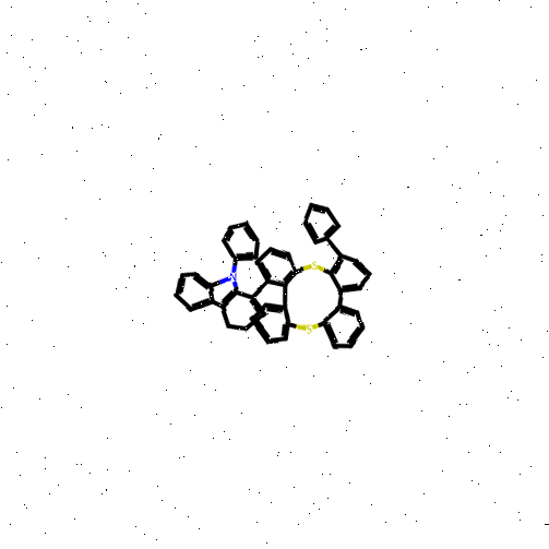 C1=C(c2cccc3c2-c2ccccc2Sc2ccccc2-c2cccc(-c4ccccc4)c2S3)c2c(c3ccccc3n2-c2ccccc2)CC1